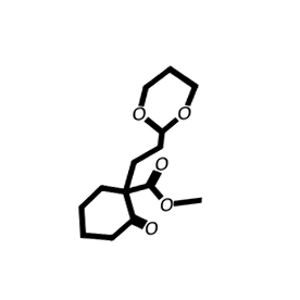 COC(=O)C1(CCC2OCCCO2)CCCCC1=O